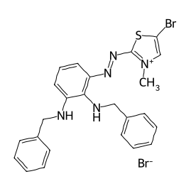 C[n+]1cc(Br)sc1N=Nc1cccc(NCc2ccccc2)c1NCc1ccccc1.[Br-]